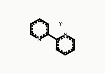 [Y].c1ccc(-c2ccccn2)nc1